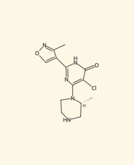 Cc1nocc1-c1nc(N2CCNC[C@H]2C)c(Cl)c(=O)[nH]1